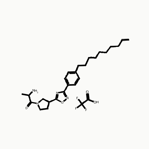 CCCCCCCCCCc1ccc(-c2noc(C3CCN(C(=O)C(C)N)C3)n2)cc1.O=C(O)C(F)(F)F